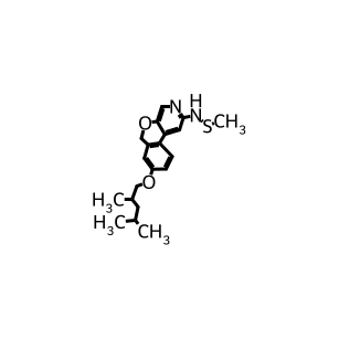 CSNc1cc2c(cn1)OCc1cc(OCC(C)CC(C)C)ccc1-2